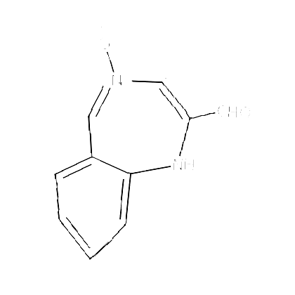 O=CC1=C[N+]([O-])=Cc2ccccc2N1